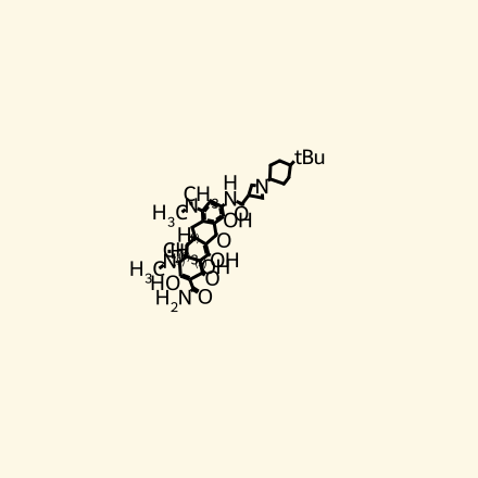 CN(C)c1cc(NC(=O)C2CN(C3CCC(C(C)(C)C)CC3)C2)c(O)c2c1C[C@H]1C[C@H]3[C@H](N(C)C)C(O)=C(C(N)=O)C(=O)[C@@]3(O)C(O)=C1C2=O